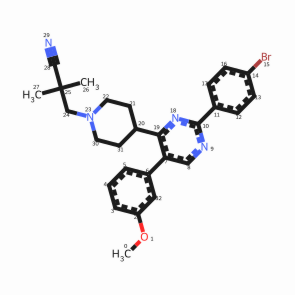 COc1cccc(-c2cnc(-c3ccc(Br)cc3)nc2C2CCN(CC(C)(C)C#N)CC2)c1